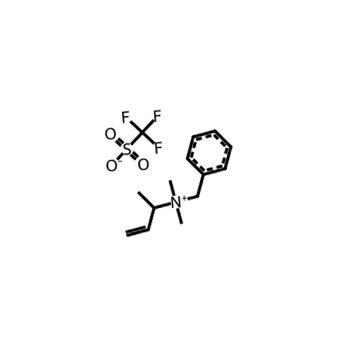 C=CC(C)[N+](C)(C)Cc1ccccc1.O=S(=O)([O-])C(F)(F)F